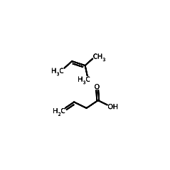 C=CCC(=O)O.CC=C(C)C